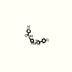 COc1ccc(-c2cnc(Nc3ccc(CNC(=O)C4CCNCC4)cc3)nc2)cc1